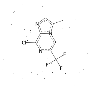 Cc1cnc2c(Cl)nc(C(F)(F)F)cn12